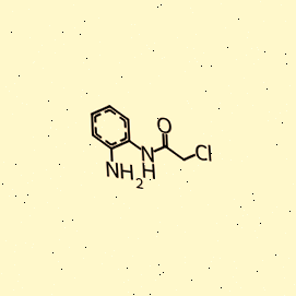 Nc1ccccc1NC(=O)CCl